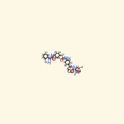 Cc1cc(C(=O)N[C@H](CC(=O)O)c2ccc(NC(=O)Cc3ccc4nc(Nc5ccccc5C)oc4c3)cc2)no1